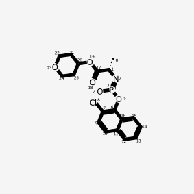 C[C@H](/N=[P+](\[O-])Oc1c(Cl)ccc2ccccc12)C(=O)OC1CCOCC1